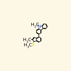 CSC1C(C)=Cc2c(-c3ccc4c(c3)c3ccccc3n4C)cccc21